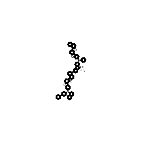 CC1(C)c2ccc(-c3cccc4c3ccc3oc5c(ccc6oc7cc(N(c8ccc(-c9ccccc9)cc8)c8cccc9ccccc89)ccc7c65)c34)cc2-c2ccc(N(c3ccccc3)c3ccc4c(c3)oc3ccc5c(oc6ccc7ccccc7c65)c34)cc21